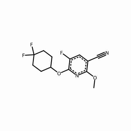 COc1nc(OC2CCC(F)(F)CC2)c(F)cc1C#N